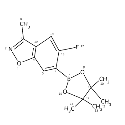 Cc1noc2cc(B3OC(C)(C)C(C)(C)O3)c(F)cc12